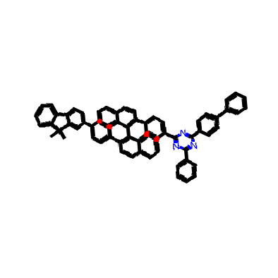 CC1(C)c2ccccc2-c2ccc(-c3ccc(-c4ccc5ccccc5c4-c4c(-c5ccc(-c6nc(-c7ccccc7)nc(-c7ccc(-c8ccccc8)cc7)n6)cc5)ccc5ccccc45)cc3)cc21